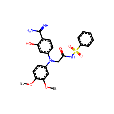 CCOc1ccc(N(CC(=O)NS(=O)(=O)c2ccccc2)c2ccc(C(=N)N)c(O)c2)cc1OCC